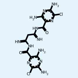 N=C(CC(=N)NC(=O)c1nc(Cl)c(N)nc1N)NC(=O)c1nc(Cl)c(N)nc1N